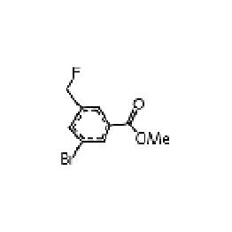 COC(=O)c1cc(Br)cc(CF)c1